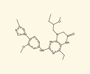 CCc1nc(Nc2ccc(-n3cnc(C)c3)c(OC)c2)nc2c1NC(=O)CN2CC(CC)OC